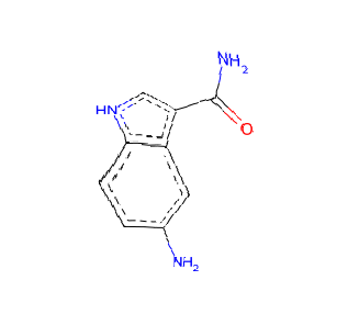 NC(=O)c1c[nH]c2ccc(N)cc12